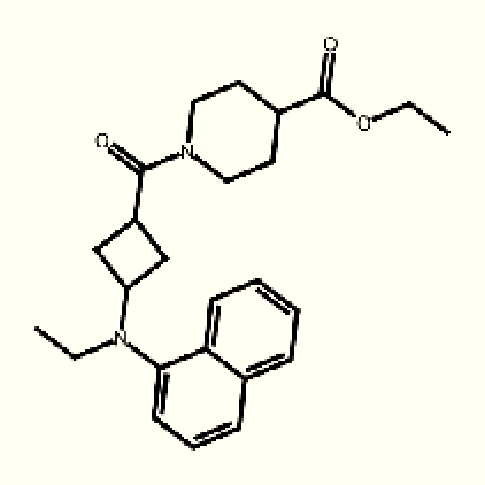 CCOC(=O)C1CCN(C(=O)C2CC(N(CC)c3cccc4ccccc34)C2)CC1